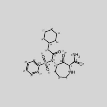 NC(=O)[C@H]1NCCC[C@H](N(C(=O)[CH]C2CCCCC2)S(=O)(=O)c2ccccn2)C1=O